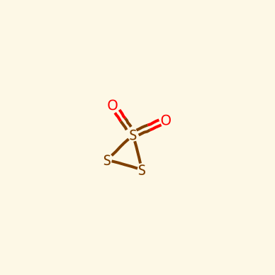 O=S1(=O)SS1